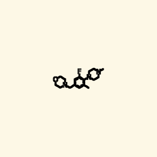 Cc1cc(CN2CCOCC2)cc(F)c1N1CCN(C)CC1